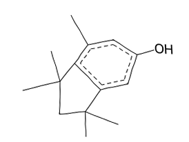 Cc1cc(O)cc2c1C(C)(C)CC2(C)C